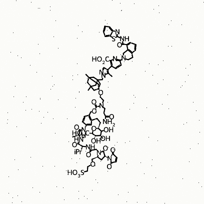 Cc1c(-c2ccc(N3CCc4cccc(C(=O)Nc5nc6ccccc6s5)c4C3)nc2C(=O)O)cnn1CC12CC3(C)CC(C)(C1)CC(OCCN(CCC(N)=O)C(=O)OCc1ccc(NC(=O)[C@H](C)NC(=O)[C@@H](NC(=O)CN4C(=O)[C@@H](N5C(=O)C=CC5=O)C[C@H]4COCCS(=O)(=O)O)C(C)C)cc1CC[C@@H]1O[C@H](C(=O)O)[C@@H](O)[C@H](O)C1O)(C3)C2